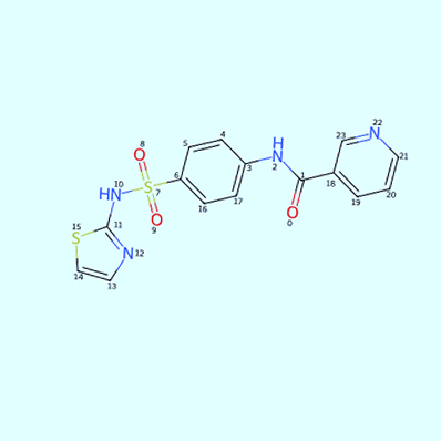 O=C(Nc1ccc(S(=O)(=O)Nc2nccs2)cc1)c1cccnc1